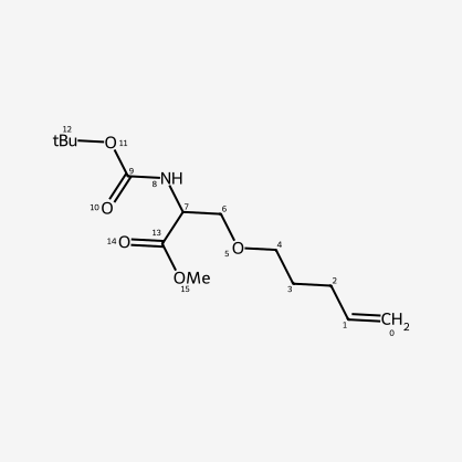 C=CCCCOCC(NC(=O)OC(C)(C)C)C(=O)OC